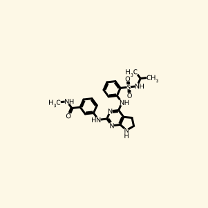 CNC(=O)c1cccc(Nc2nc3c(c(Nc4ccccc4S(=O)(=O)NC(C)C)n2)CCN3)c1